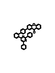 O=c1c2ccccc2oc2ccc(-c3ccc(-c4ccccc4-c4cc(-c5ccccc5)nc(-c5ccccc5)n4)cc3)cc12